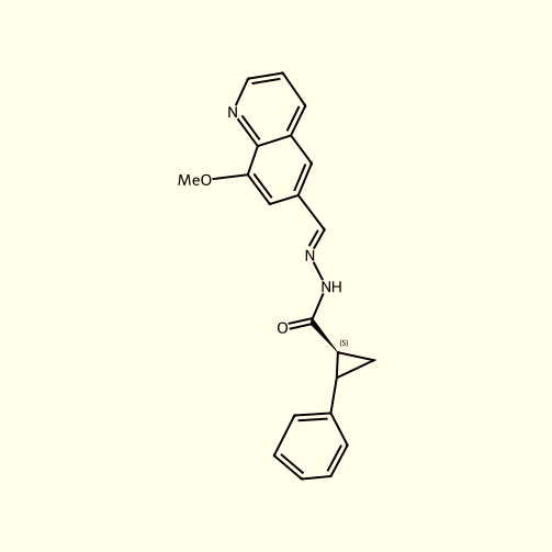 COc1cc(C=NNC(=O)[C@H]2CC2c2ccccc2)cc2cccnc12